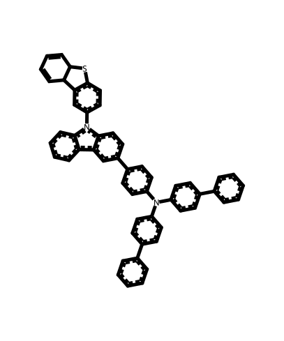 C1=CC2Sc3ccc(-n4c5ccccc5c5cc(-c6ccc(N(c7ccc(-c8ccccc8)cc7)c7ccc(-c8ccccc8)cc7)cc6)ccc54)cc3C2C=C1